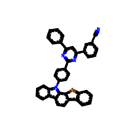 N#Cc1cccc(-c2cc(-c3ccccc3)nc(-c3ccc(-n4c5ccccc5c5ccc6c7ccccc7sc6c54)cc3)n2)c1